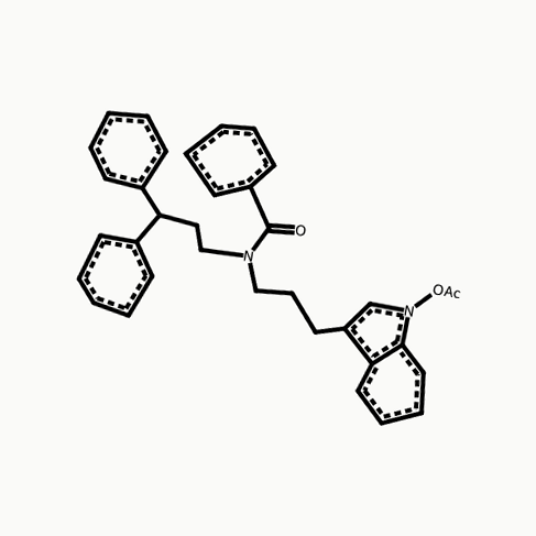 CC(=O)On1cc(CCCN(CCC(c2ccccc2)c2ccccc2)C(=O)c2ccccc2)c2ccccc21